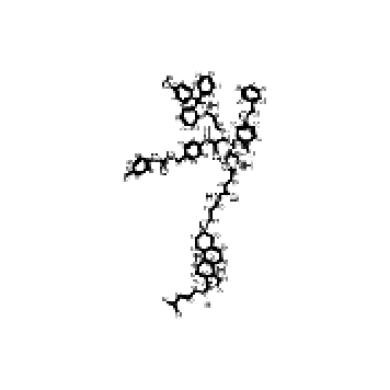 COc1ccc(C(NCCCC[C@H](NC(=O)[C@H](Cc2ccc(OCc3ccccc3)cc2)NC(=O)CCC(=O)NCCCO[C@H]2CC[C@@]3(C)C(=CC[C@H]4[C@@H]5CC[C@H]([C@H](C)CCCC(C)C)[C@@]5(C)CC[C@@H]43)C2)C(=O)Nc2ccc(COC(=O)Oc3ccc(C)cc3)cc2)(c2ccccc2)c2ccccc2)cc1